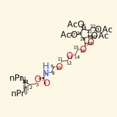 CCC[C@@H]1C(COC(=O)NCCOCCOCCOC2OC3(OC(C)=O)C(COC(C)=O)C(OC(C)=O)C(OC(C)=O)C23)[C@@H]1CCC